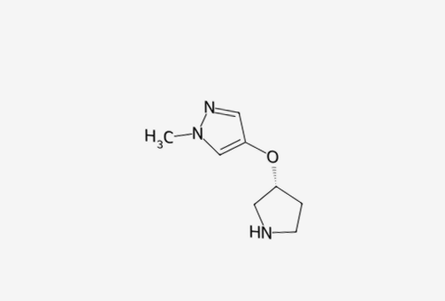 Cn1cc(O[C@@H]2CCNC2)cn1